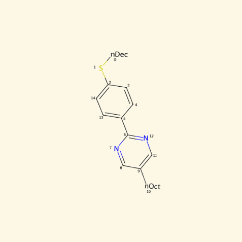 CCCCCCCCCCSc1ccc(-c2ncc(CCCCCCCC)cn2)cc1